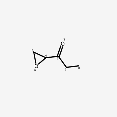 CCC(=O)C1CO1